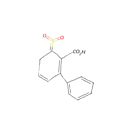 O=C(O)C1=C(c2ccccc2)C=CCC1=S(=O)=O